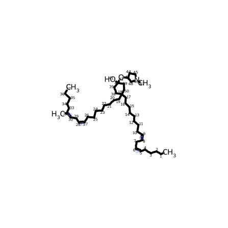 CCCCC/C=C\C/C=C\CCCCCCCCC1(CCCCCCCC/C=C\C/C=C(/C)CCCCC)CCC(O)(OC2CCN(C)C2)CC1